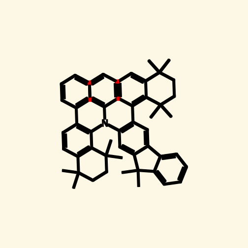 CC1(C)CCC(C)(C)c2c(-c3cc4c(cc3N(c3ccccc3)c3c(-c5ccccc5)ccc5c3C(C)(C)CCC5(C)C)C(C)(C)c3ccccc3-4)cccc21